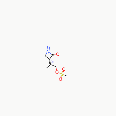 C/C(COS(C)(=O)=O)=C1\CNC1=O